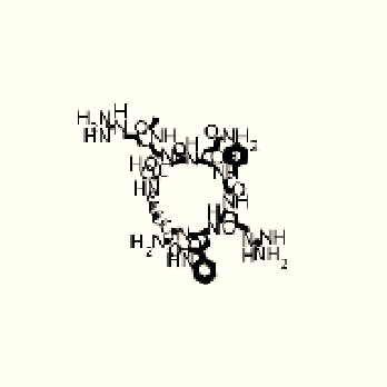 CC(=O)N[C@@H](CCCNC(=N)N)C(O)N[C@H]1CC(=O)NCCCC[C@@H](C(N)=O)NC(=O)[C@H](Cc2c[nH]c3ccccc23)NC(=O)[C@H](CCCNC(=N)N)NC(=O)[C@@H](Cc2ccccc2)NC(O)[C@H](CCC(N)=O)NC1=O